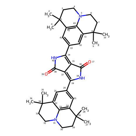 CC1(C)CCN2CCC(C)(C)c3cc(C4=C5C(=O)NC(c6cc7c8c(c6)C(C)(C)CCN8CCC7(C)C)=C5C(=O)N4)cc1c32